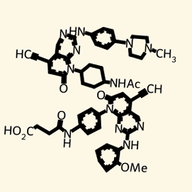 C#Cc1cc(=O)n(-c2ccc(NC(=O)CCC(=O)O)cc2)c2nc(Nc3ccccc3OC)ncc12.C#Cc1cc(=O)n(C2CCC(NC(C)=O)CC2)c2nc(Nc3ccc(N4CCN(C)CC4)cc3)ncc12